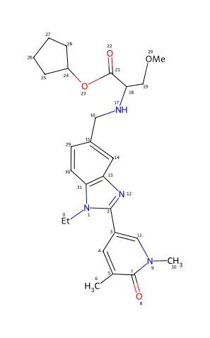 CCn1c(-c2cc(C)c(=O)n(C)c2)nc2cc(CNC(COC)C(=O)OC3CCCC3)ccc21